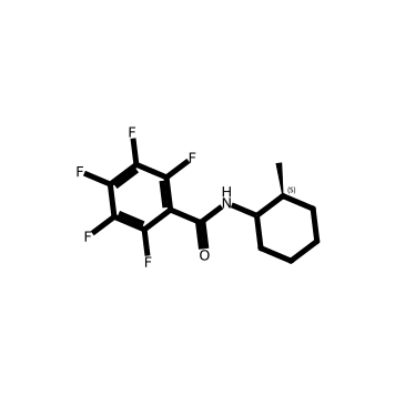 C[C@H]1CCCCC1NC(=O)c1c(F)c(F)c(F)c(F)c1F